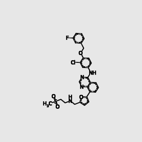 CS(=O)(=O)CCNCc1ccc(-c2cccc3c(Nc4ccc(OCc5cccc(F)c5)c(Cl)c4)ncnc23)o1